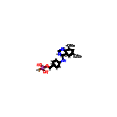 COc1cc(OC)c2ncnc(Nc3ccc(COP(O)(O)=S)cc3)c2c1